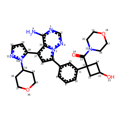 Nc1ncnn2c(-c3cccc(C4(C(=O)N5CCOCC5)CC(O)C4)c3)cc(-c3ccnn3C3CCOCC3)c12